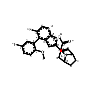 COc1ccc(F)cc1-c1c(F)cnc2[nH]c(C3=CC4CCC(C3)N4CC(=O)O)cc12